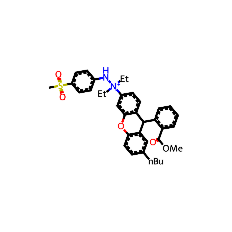 CCCCc1ccc2c(c1)C(c1ccccc1C(=O)OC)c1ccc([N+](CC)(CC)Nc3ccc(S(C)(=O)=O)cc3)cc1O2